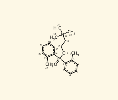 Cc1ccccc1P(=O)(OCC[N+](C)(C)C)c1ccccc1C